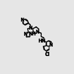 Clc1ccc2c(NCCCN3CCC(N(Cc4ccncc4)Cc4ncc[nH]4)CC3)ccnc2c1